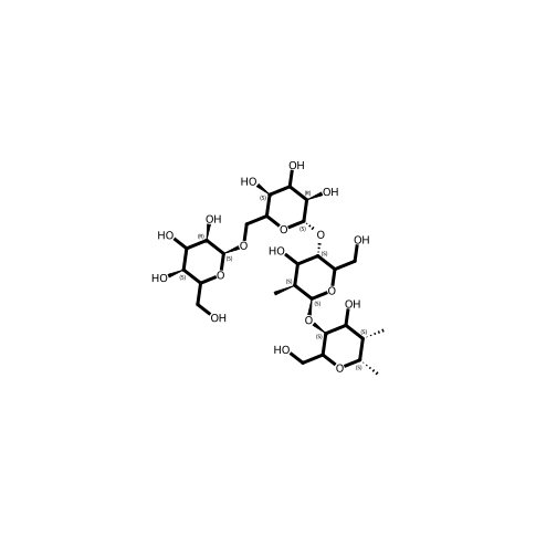 C[C@@H]1OC(CO)[C@@H](O[C@@H]2OC(CO)[C@@H](O[C@@H]3OC(CO[C@H]4OC(CO)[C@@H](O)C(O)[C@H]4O)[C@@H](O)C(O)[C@H]3O)C(O)[C@@H]2C)C(O)[C@@H]1C